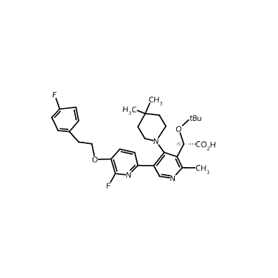 Cc1ncc(-c2ccc(OCCc3ccc(F)cc3)c(F)n2)c(N2CCC(C)(C)CC2)c1[C@H](OC(C)(C)C)C(=O)O